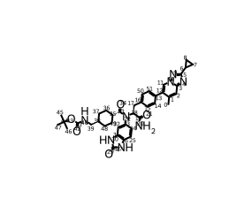 Cc1cc2nc(C3CC3)nn2cc1-c1ccc(C[C@@H](C(N)=O)N(c2ccc3[nH]c(=O)[nH]c3c2)C(=O)[C@H]2CC[C@H](CNC(=O)OC(C)(C)C)CC2)cc1